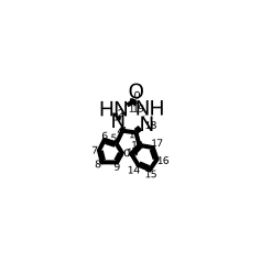 O=C1NN=C(c2ccccc2)C(c2ccccc2)=NN1